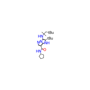 CC(C)(C)CC(C)(C)Nc1c(C(C)(C)C)[nH]c2c(C(=O)NC3CCCC3)cnn12